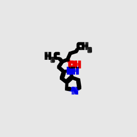 CCCC(O)C(C)Cc1cc2cnccc2[nH]1